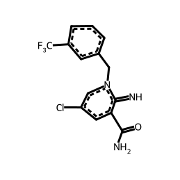 N=c1c(C(N)=O)cc(Cl)cn1Cc1cccc(C(F)(F)F)c1